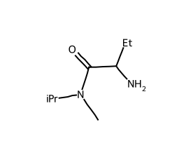 CCC(N)C(=O)N(C)C(C)C